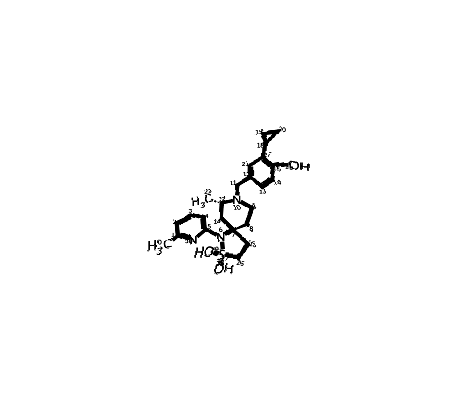 Cc1cccc(N2[C@@]3(CCN(Cc4ccc(O)c(C5CC5)c4)[C@@H](C)C3)CCS2(O)O)n1